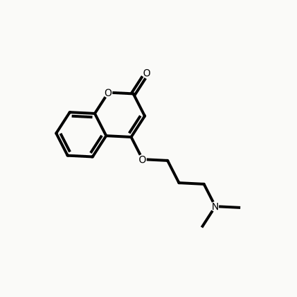 CN(C)CCCOc1cc(=O)oc2ccccc12